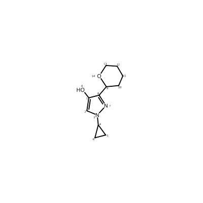 Oc1cn(C2CC2)nc1C1CCCCO1